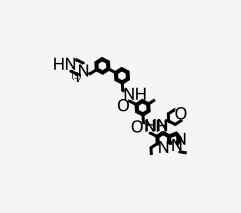 CCc1nc2c(cnn2CC)c(NC2CCOCC2)c1CNC(=O)c1cc(C)cc(C(=O)NCc2cccc(-c3cccc(CN4CCNC[C@@H]4C)c3)c2)c1